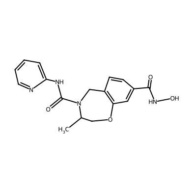 CC1COc2cc(C(=O)NO)ccc2CN1C(=O)Nc1ccccn1